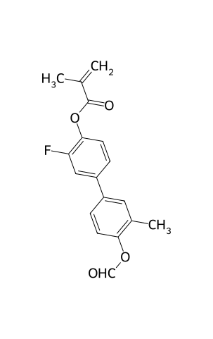 C=C(C)C(=O)Oc1ccc(-c2ccc(OC=O)c(C)c2)cc1F